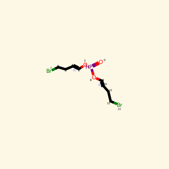 O=[PH](O/C=C/CCBr)O/C=C/CCBr